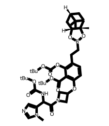 Cn1cncc1C(NC(=O)OC(C)(C)C)C(=O)N1CC(Oc2ccc(CCB3O[C@@H]4C[C@@H]5CC(C5(C)C)[C@]4(C)O3)c(OC(=O)OC(C)(C)C)c2C(=O)OC(C)(C)C)C1